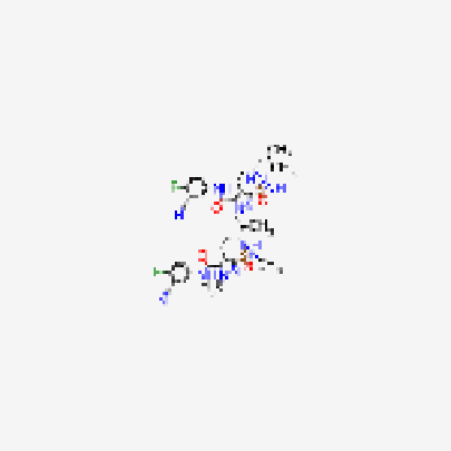 CN=S1(=O)N[C@@H](C(C)Cn2nc3c(c2C(=O)Nc2ccc(F)c(C#N)c2)CC[C@H](CC(C)C)NS3(=N)=O)CCc2c1nn(C)c2C(=O)Nc1ccc(F)c(C#N)c1